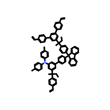 C=Cc1ccc(-c2cc(-c3ccc(C=C)cc3)cc(C(C)(CC)c3ccc(C4(c5ccc(-c6cc(N(c7ccc(C)cc7)c7ccc(C)cc7)cc(C(C)(CC)c7ccc(C=C)cc7)c6)cc5)c5ccccc5-c5ccccc54)cc3)c2)cc1